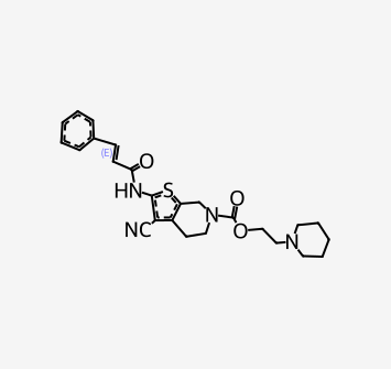 N#Cc1c(NC(=O)/C=C/c2ccccc2)sc2c1CCN(C(=O)OCCN1CCCCC1)C2